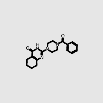 O=C(c1ccccc1)N1CCN(c2nc3c(c(=O)[nH]2)CCCC3)CC1